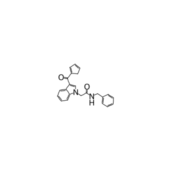 O=C(Cn1cc(C(=O)C2=CC=CC2)c2ccccc21)NCc1ccccc1